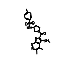 Cc1ccc(S(=O)(=O)NC2CCN(C(=O)c3sc4nnc(C)c(C)c4c3N)C2)cc1